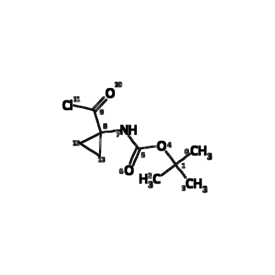 CC(C)(C)OC(=O)NC1(C(=O)Cl)CC1